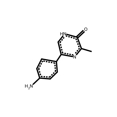 Cc1nc(-c2ccc(N)cc2)c[nH]c1=O